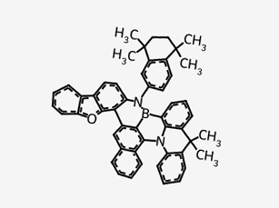 CC1(C)CCC(C)(C)c2cc(N3B4c5cccc6c5N(c5ccccc5C6(C)C)c5c4c(cc4ccccc54)-c4c3ccc3c4oc4ccccc43)ccc21